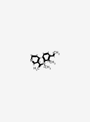 C=Cc1cccc(N(C)C(=C)c2cccnc2)c1C